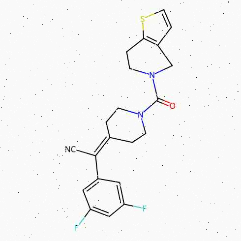 N#CC(=C1CCN(C(=O)N2CCc3sccc3C2)CC1)c1cc(F)cc(F)c1